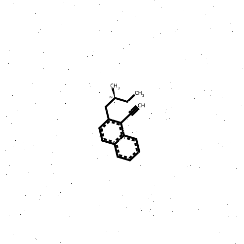 C#Cc1c(C[C@@H](C)CC)ccc2ccccc12